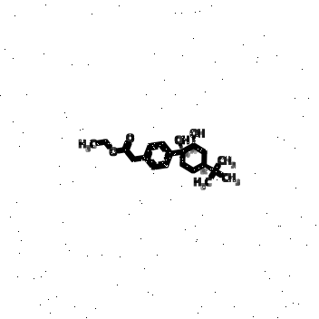 CCOC(=O)Cc1ccc([C@]2(O)CC[C@H](C(C)(C)C)C[C@H]2O)cc1